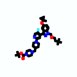 CC(C)(C)OC(=O)N1CCN(CC2CCN(c3cc(-c4nn(COCC[Si](C)(C)C)c5ccc(OC6(C)CC6)cc45)c(F)cn3)CC2)CC1